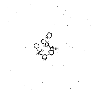 O=C(CC1CCCCC1)Nc1cncc(-c2ccc3[nH]nc(-c4cc5c(N6CCCCC6)cccc5[nH]4)c3c2)c1